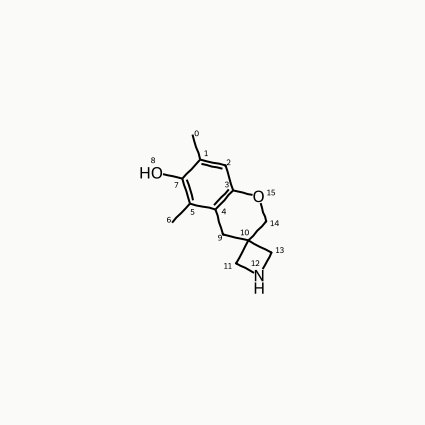 Cc1cc2c(c(C)c1O)CC1(CNC1)CO2